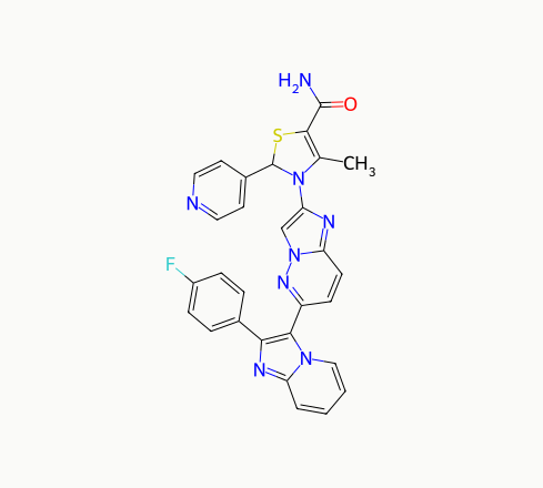 CC1=C(C(N)=O)SC(c2ccncc2)N1c1cn2nc(-c3c(-c4ccc(F)cc4)nc4ccccn34)ccc2n1